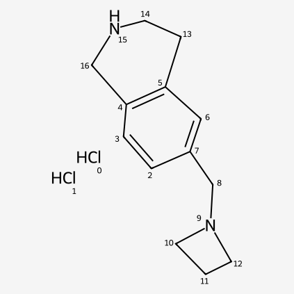 Cl.Cl.c1cc2c(cc1CN1CCC1)CCNC2